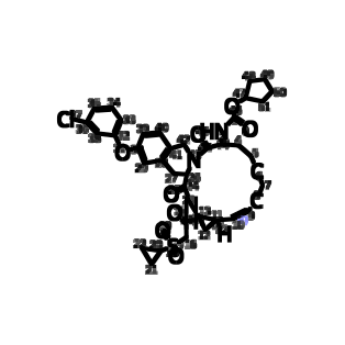 O=C(N[C@H]1CCCCC/C=C\[C@@H]2C[C@@]2(C(=O)CS(=O)(=O)C2CC2)NC(=O)C2Cc3cc(Oc4cccc(Cl)c4)ccc3CN2C1=O)OC1CCCC1